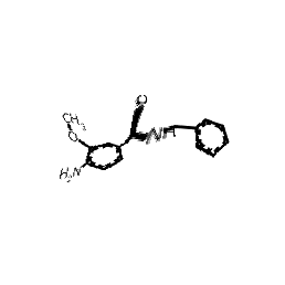 COc1cc(C(=O)NCc2ccccc2)ccc1N